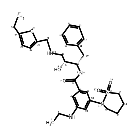 CCNc1cc(C(=O)N[C@@H](Cc2ccccc2)[C@H](O)CNCc2ccc(CC)o2)cc(N2CCCCS2(=O)=O)c1